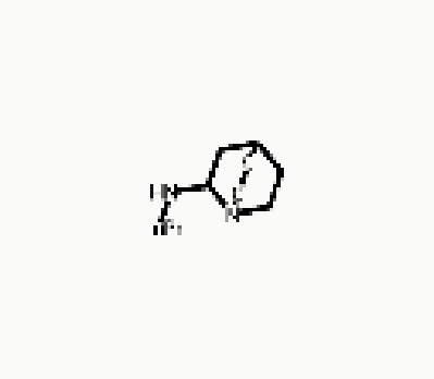 CCCNC1CC2CCN1CC2